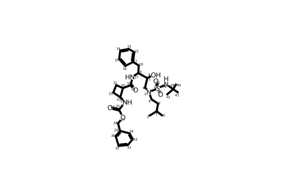 CC(C)CCN(CC(O)C(Cc1ccccc1)NC(=O)C1CCC1NC(=O)OCc1ccccc1)S(=O)(=O)NC(C)(C)C